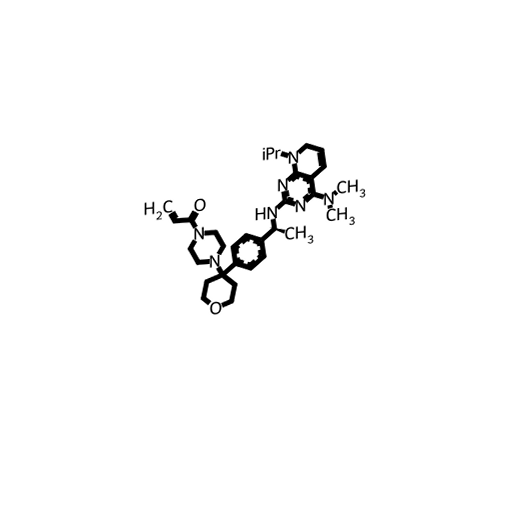 C=CC(=O)N1CCN(C2(c3ccc([C@H](C)Nc4nc(N(C)C)c5c(n4)N(C(C)C)CC=C5)cc3)CCOCC2)CC1